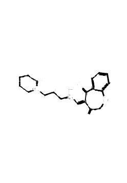 O=C1COc2ccccc2C(=O)C1=CNCCCN1CCCCC1